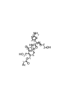 CC(=O)CC(=O)OCC1=C(C(=O)O)N2C(=O)[C@@H](NC(=O)/C(=N\OCCO)c3csc(N)n3)[C@@H]2SC1